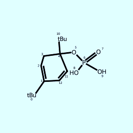 CC(C)(C)C1=CCC(OP(=O)(O)O)(C(C)(C)C)C=C1